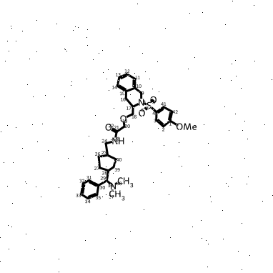 COc1ccc(S(=O)(=O)N2Cc3ccccc3CC2COCC(=O)NCC2CCC(C(c3ccccc3)N(C)C)CC2)cc1